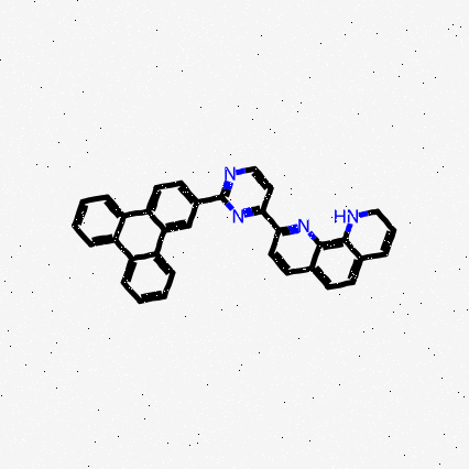 C1=Cc2ccc3ccc(-c4ccnc(-c5ccc6c7ccccc7c7ccccc7c6c5)n4)nc3c2NC1